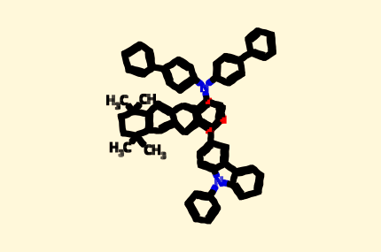 CC1(C)CCC(C)(C)c2cc3c(cc21)C1c2ccccc2C3c2c(N(c3ccc(-c4ccccc4)cc3)c3ccc(-c4ccccc4)cc3)ccc(-c3ccc4c(c3)c3ccccc3n4-c3ccccc3)c21